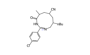 CCCCC1C/N=C(/c2ccc(Cl)cc2)NC(=O)C(C)CC(C#N)C1